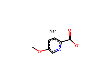 COc1ccc(C(=O)[O-])nc1.[Na+]